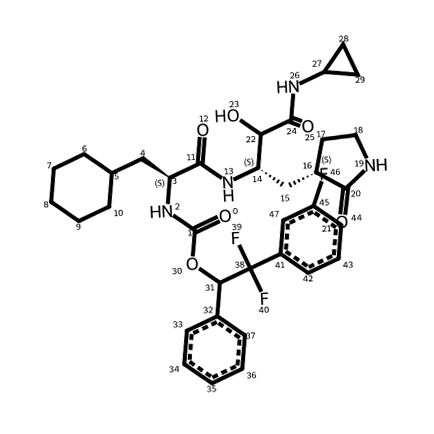 O=C(N[C@@H](CC1CCCCC1)C(=O)N[C@@H](C[C@@H]1CCNC1=O)C(O)C(=O)NC1CC1)OC(c1ccccc1)C(F)(F)c1cccc(F)c1